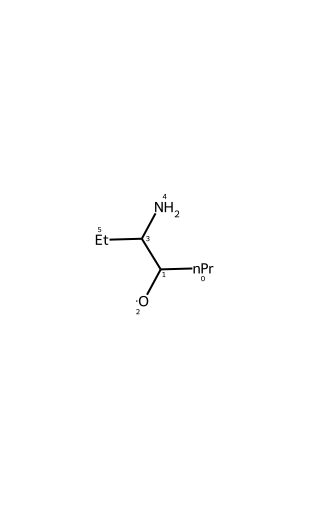 CCCC([O])C(N)CC